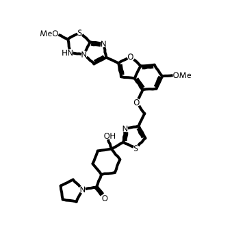 COc1cc(OCc2csc(C3(O)CCC(C(=O)N4CCCC4)CC3)n2)c2cc(-c3cn4c(n3)SC(OC)N4)oc2c1